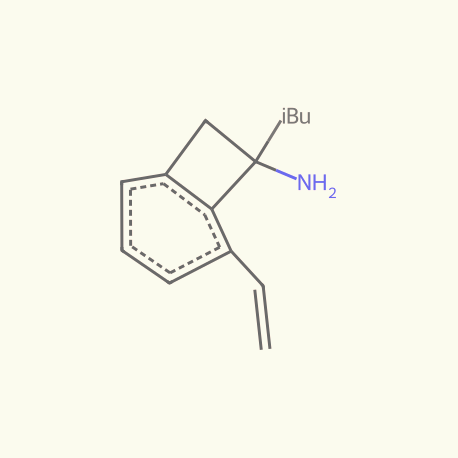 C=Cc1cccc2c1C(N)(C(C)CC)C2